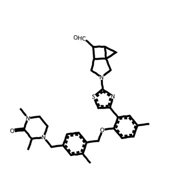 Cc1ccc(OCc2ccc(CN3CCN(C)C(=O)C3C)cc2C)c(-c2csc(N3CC4C(C=O)C5CC45C3)n2)c1